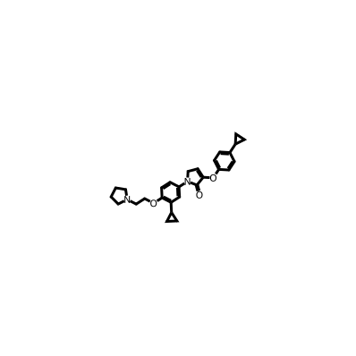 O=C1C(Oc2ccc(C3CC3)cc2)=CCN1c1ccc(OCCN2CCCC2)c(C2CC2)c1